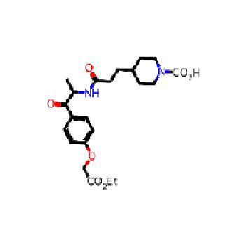 CCOC(=O)COc1ccc(C(=O)C(C)NC(=O)CCC2CCN(C(=O)O)CC2)cc1